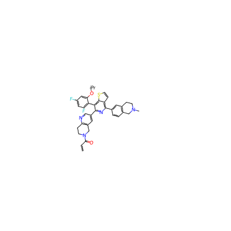 C=CC(=O)N1CCc2ncc(-c3nc(-c4ccc5c(c4)CCN(C)C5)c4ccsc4c3-c3c(F)cc(F)cc3OC(C)C)cc2C1